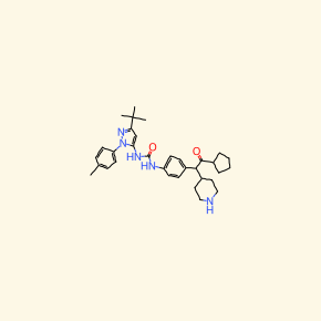 Cc1ccc(-n2nc(C(C)(C)C)cc2NC(=O)Nc2ccc(C(C(=O)C3CCCC3)C3CCNCC3)cc2)cc1